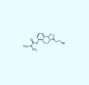 CC(C)CCN1CCC2c3cccc(OC(=O)N(C)C)c3CCC21